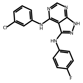 Fc1ccc(Nc2n[nH]c3ncnc(Nc4cccc(Cl)c4)c23)cc1